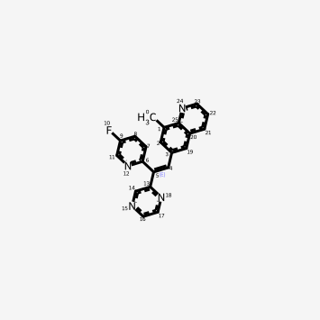 Cc1cc(/C=C(\c2ccc(F)cn2)c2cnccn2)cc2cccnc12